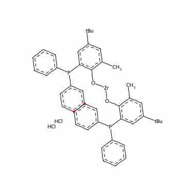 Cc1cc(C(C)(C)C)cc(P(c2ccccc2)c2ccccc2)c1[O][Zr][O]c1c(C)cc(C(C)(C)C)cc1P(c1ccccc1)c1ccccc1.Cl.Cl